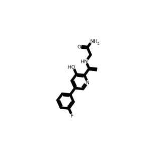 C=C(NCC(N)=O)c1ncc(-c2cccc(F)c2)cc1O